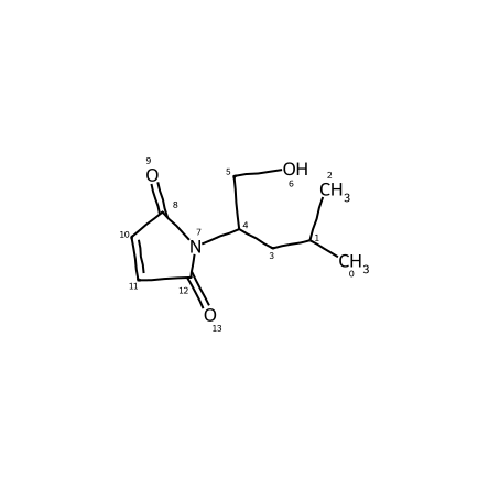 CC(C)CC(CO)N1C(=O)C=CC1=O